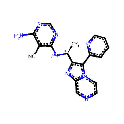 C[C@H](Nc1ncnc(N)c1C#N)c1nc2cnccn2c1-c1ccccn1